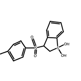 O=S(=O)(c1ccc(F)cc1)C1CS(O)(O)c2ccccc21